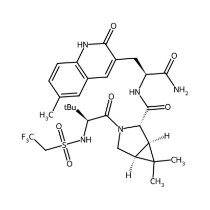 Cc1ccc2[nH]c(=O)c(C[C@H](NC(=O)[C@@H]3[C@@H]4[C@H](CN3C(=O)[C@@H](NS(=O)(=O)CC(F)(F)F)C(C)(C)C)C4(C)C)C(N)=O)cc2c1